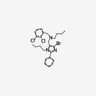 CCCCN(Cc1cccc(Cl)c1Cl)Cc1c(Br)nc(-c2ccccc2)n1CCCC